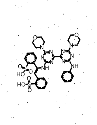 O=S(=O)(O)c1ccccc1C=C(Nc1nc(-c2nc(Nc3ccccc3)nc(N3CCOCC3)n2)nc(N2CCOCC2)n1)c1ccccc1S(=O)(=O)O